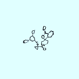 O=C1OC2(CCN(C(=O)C3(Sc4cc(Cl)cc(Cl)c4)CC3)C2)c2ccccc21